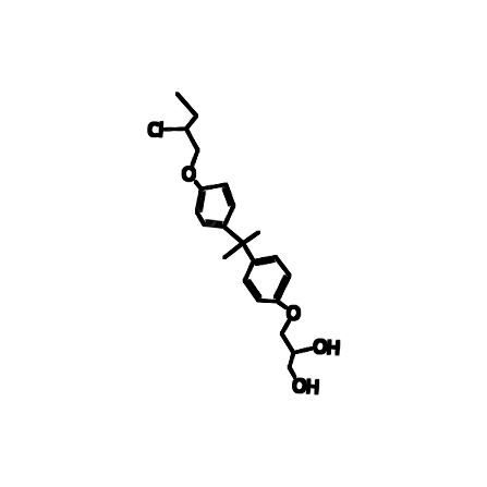 CCC(Cl)COc1ccc(C(C)(C)c2ccc(OCC(O)CO)cc2)cc1